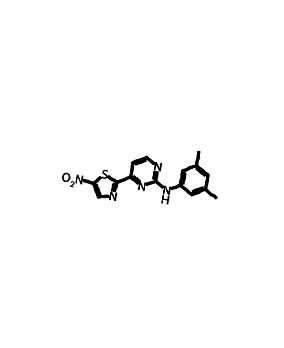 Cc1cc(C)cc(Nc2nccc(-c3ncc([N+](=O)[O-])s3)n2)c1